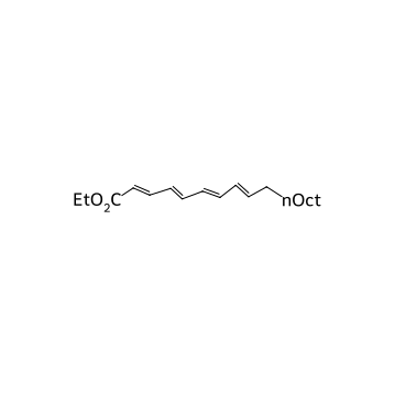 CCCCCCCCC/C=C/C=C/C=C/C=C/C(=O)OCC